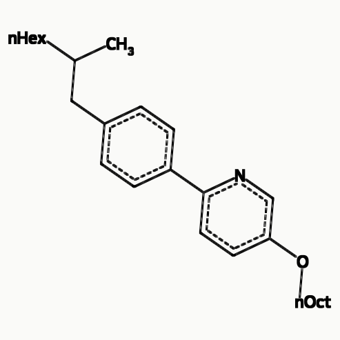 CCCCCCCCOc1ccc(-c2ccc(CC(C)CCCCCC)cc2)nc1